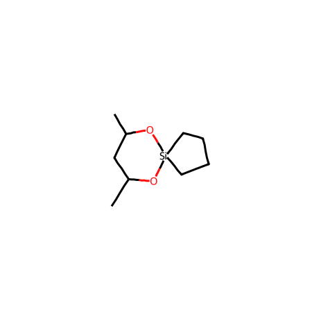 CC1CC(C)O[Si]2(CCCC2)O1